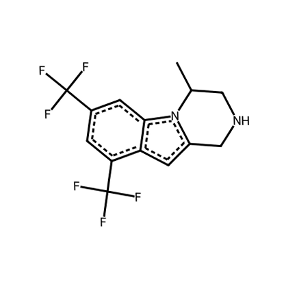 CC1CNCc2cc3c(C(F)(F)F)cc(C(F)(F)F)cc3n21